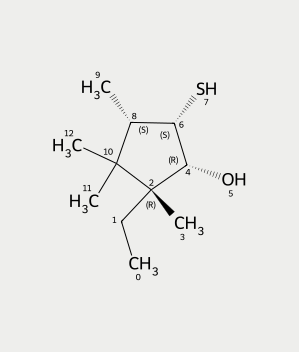 CC[C@@]1(C)[C@@H](O)[C@@H](S)[C@@H](C)C1(C)C